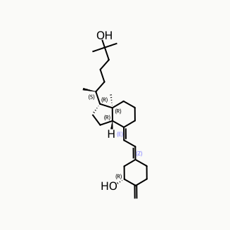 C=C1CC/C(=C/C=C2\CCC[C@]3(C)[C@@H]([C@@H](C)CCCC(C)(C)O)CC[C@@H]23)C[C@H]1O